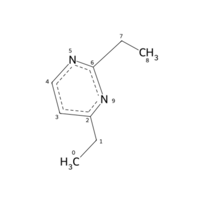 CCc1ccnc(CC)n1